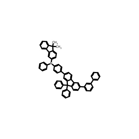 CC1(C)c2ccccc2-c2cc(N(c3ccccc3)c3ccc(-c4ccc5c(c4)C(c4ccccc4)(c4ccccc4)c4ccc(-c6cccc(-c7ccccc7)c6)cc4-5)cc3)ccc21